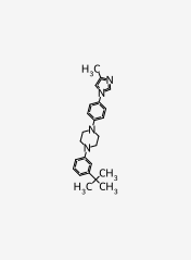 Cc1cn(-c2ccc(N3CCN(c4cccc(C(C)(C)C)c4)CC3)cc2)cn1